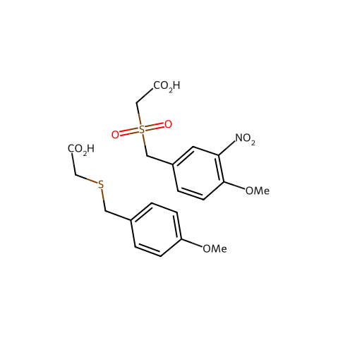 COc1ccc(CS(=O)(=O)CC(=O)O)cc1[N+](=O)[O-].COc1ccc(CSCC(=O)O)cc1